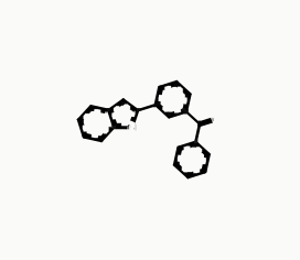 O=C(c1ccccc1)c1cccc(-c2cc3ccccc3[nH]2)c1